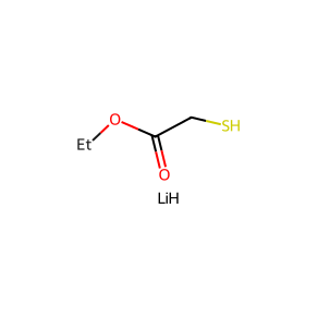 CCOC(=O)CS.[LiH]